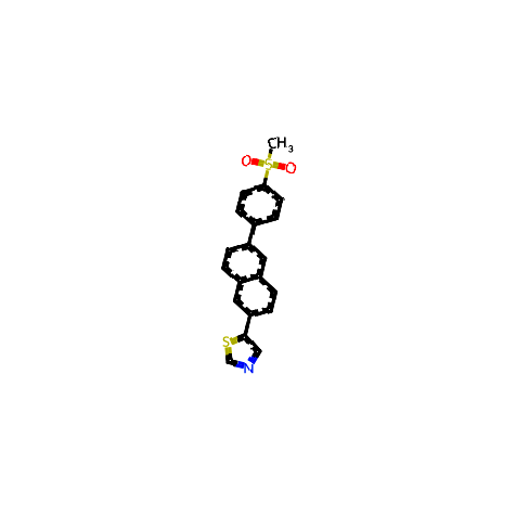 CS(=O)(=O)c1ccc(-c2ccc3cc(-c4cncs4)ccc3c2)cc1